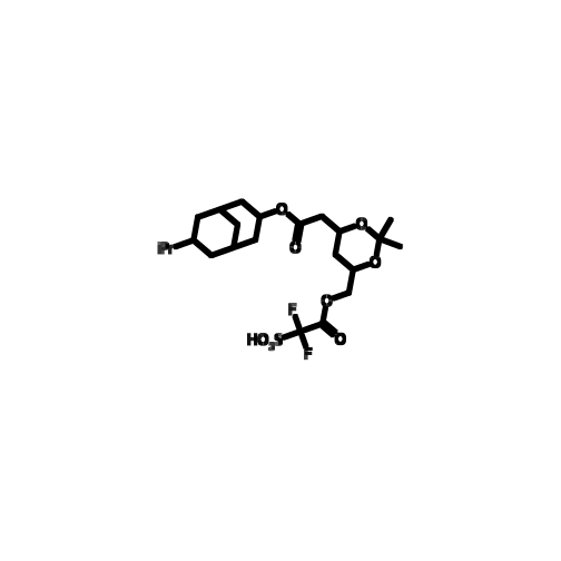 CC(C)C1CC2CC(CC(OC(=O)CC3CC(COC(=O)C(F)(F)S(=O)(=O)O)OC(C)(C)O3)C2)C1